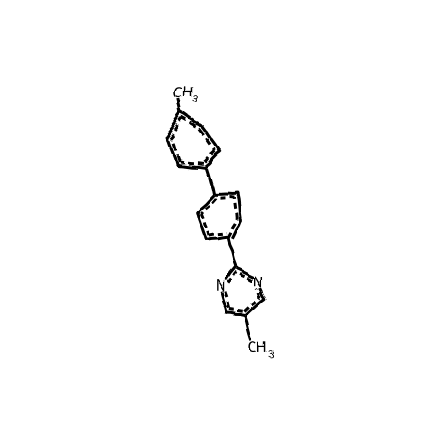 Cc1ccc(-c2ccc(-c3ncc(C)cn3)cc2)cc1